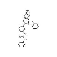 Nc1cn2cc(-c3cccc(NC(=O)Nc4ccccc4)c3)nc(Cc3ccccc3)c2n1